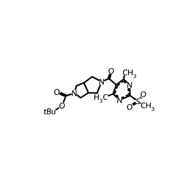 Cc1nc(S(C)(=O)=O)nc(C)c1C(=O)N1CC2CN(C(=O)OC(C)(C)C)CC2C1